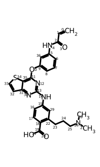 C=CC(=O)Nc1cccc(Oc2nc(Nc3ccc(C(=O)O)c(CCCN(C)C)c3)nc3ccsc23)c1